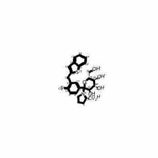 O=C(O)[C@@H]1CCCN1C1(c2ccc(F)c(Cc3cc4ccccc4s3)c2)O[C@H](CO)[C@@H](O)[C@H](O)[C@H]1O